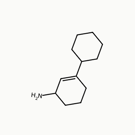 NC1C=C(C2CCCCC2)CCC1